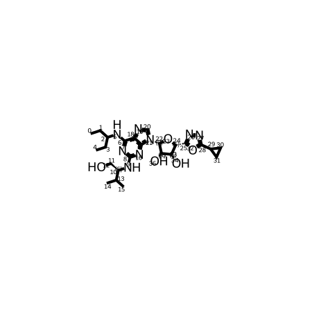 CCC(CC)Nc1nc(N[C@H](CO)C(C)C)nc2c1ncn2[C@@H]1O[C@H](c2nnc(C3CC3)o2)[C@@H](O)[C@H]1O